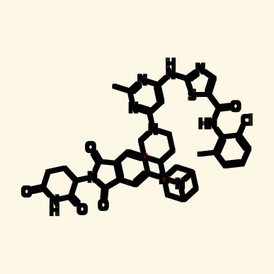 Cc1nc(Nc2ncc(C(=O)Nc3c(C)cccc3Cl)s2)cc(N2CCC(CN3C4CC3CN(c3ccc5c(c3)C(=O)N(C3CCC(=O)NC3=O)C5=O)C4)CC2)n1